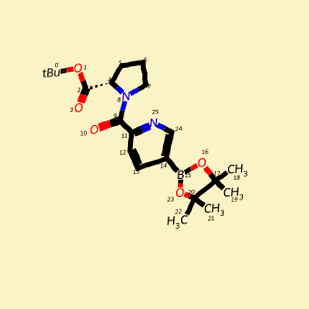 CC(C)(C)OC(=O)[C@@H]1CCCN1C(=O)c1ccc(B2OC(C)(C)C(C)(C)O2)cn1